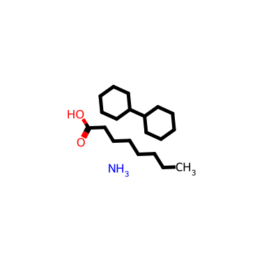 C1CCC(C2CCCCC2)CC1.CCCCCCCC(=O)O.N